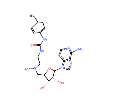 CN(CCNC(=O)NC1=CCC(C(C)(C)C)C=C1)C[C@H]1OC(n2cnc3c(N)ncnc32)[C@H](O)[C@@H]1O